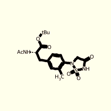 CC(=O)N[C@@H](Cc1ccc(N2CC(=O)NS2(=O)=O)c(C)c1)C(=O)OC(C)(C)C